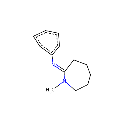 CN1CCCCC/C1=N\c1ccccc1